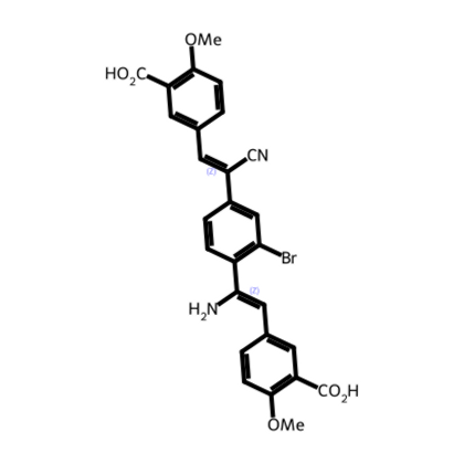 COc1ccc(/C=C(\C#N)c2ccc(/C(N)=C/c3ccc(OC)c(C(=O)O)c3)c(Br)c2)cc1C(=O)O